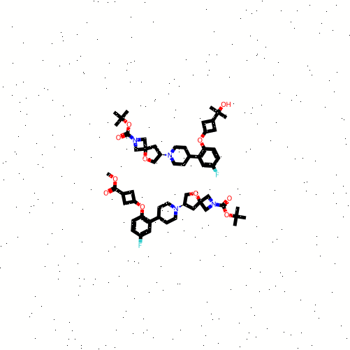 CC(C)(C)OC(=O)N1CC2(C[C@H](N3CCC(c4cc(F)ccc4OC4CC(C(C)(C)O)C4)CC3)CO2)C1.COC(=O)C1CC(Oc2ccc(F)cc2C2CCN([C@@H]3COC4(C3)CN(C(=O)OC(C)(C)C)C4)CC2)C1